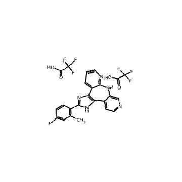 Cc1cc(F)ccc1-c1nc2c([nH]1)-c1ccncc1Nc1ncccc1-2.O=C(O)C(F)(F)F.O=C(O)C(F)(F)F